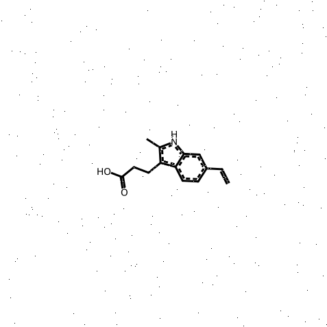 C=Cc1ccc2c(CCC(=O)O)c(C)[nH]c2c1